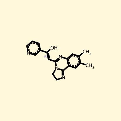 Cc1cc2c(cc1C)C1=NCCN1C(/C=C(\O)c1cccnc1)=N2